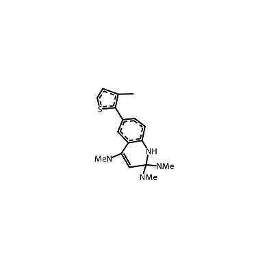 CNC1=CC(NC)(NC)Nc2ccc(-c3sccc3C)cc21